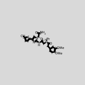 COc1ccc(CC(=O)N(CC(=O)Nc2nc(-c3ccc(Cl)s3)cn2CC(N)=O)C(C)C)cc1OC